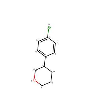 Brc1ccc(C2[CH]OCCC2)cc1